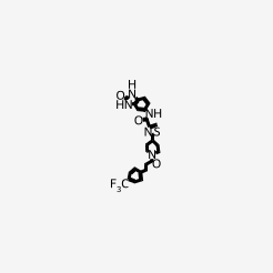 O=C(Nc1ccc2[nH]c(=O)[nH]c2c1)c1csc(C2CCN(C(=O)CCc3ccc(C(F)(F)F)cc3)CC2)n1